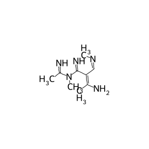 C/N=C\C(C(=N)N(C)C(C)=N)=C(\C)N